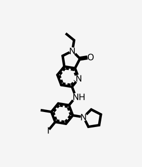 CCN1Cc2ccc(Nc3cc(C)c(I)cc3N3CCCC3)nc2C1=O